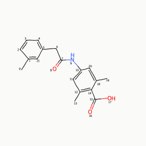 Cc1cccc(CC(=O)Nc2cc(C)c(C(=O)O)c(C)c2)c1